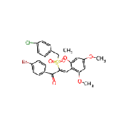 COc1cc(OC)c(C=C(C(=O)c2ccc(Br)cc2)S(=O)(=O)Cc2ccc(Cl)cc2)c(OC)c1